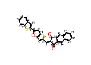 O=C1C(=Cc2cc3oc(-c4cc5ccccc5s4)cc3s2)C(=O)c2cc3ccccc3cc21